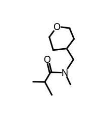 CC(C)C(=O)N(C)CC1CCOCC1